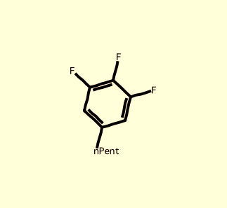 CCCCCc1cc(F)c(F)c(F)c1